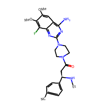 CCN[C@H](CC(=O)N1CCN(c2nc(N)c3cc(OC)c(OC)c(F)c3n2)CC1)c1ccc(C#N)cc1